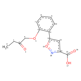 CCC(=O)COc1ccccc1-c1cc(C(=O)O)no1